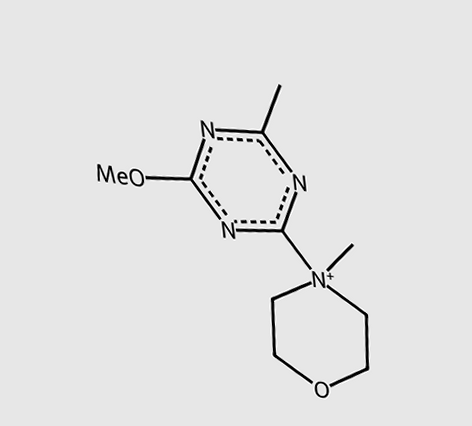 COc1nc(C)nc([N+]2(C)CCOCC2)n1